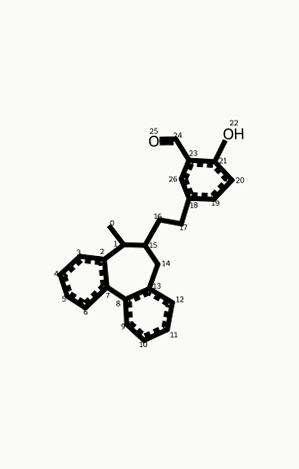 CC1c2ccccc2-c2ccccc2CC1CCc1ccc(O)c(C=O)c1